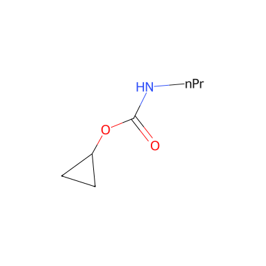 CCCNC(=O)OC1CC1